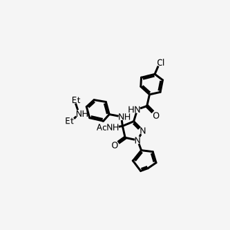 CC(=O)NC1(Nc2ccccc2)C(=O)N(c2ccccc2)N=C1NC(=O)c1ccc(Cl)cc1.CCNCC